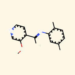 CCOc1cnccc1/C(C)=N/c1cc(C(F)(F)F)ccc1C